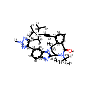 [2H]C([2H])([2H])N1C(=O)c2cccc(C#C[Si](C(C)C)(C(C)C)C(C)C)c2[C@H]2C[C@@H]1c1nc3ccc(-c4cnn(C)n4)cc3n12